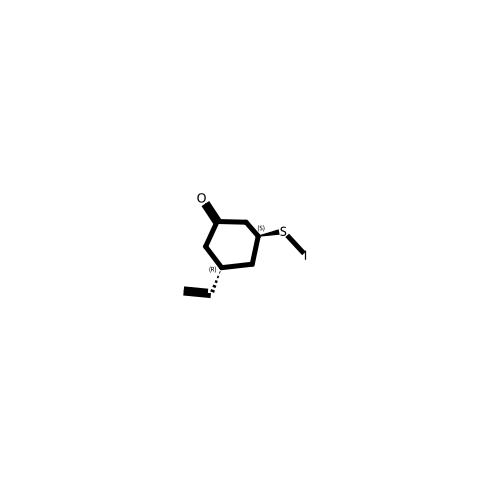 C=C[C@@H]1CC(=O)C[C@@H](SI)C1